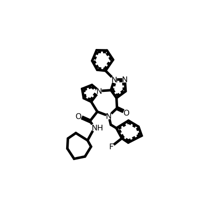 O=C(NC1CCCCCC1)C1c2cccn2-c2c(cnn2-c2ccccc2)C(=O)N1Cc1ccccc1F